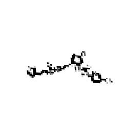 N#Cc1ccc(NC(=O)Nc2cc(Cl)ccc2OCCCNC(=O)NCCc2ccsc2)nc1